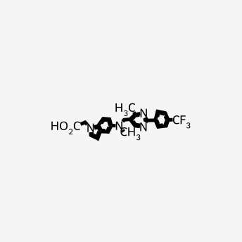 Cc1nc(-c2ccc(C(F)(F)F)cc2)ncc1CN(C)c1ccc2c(ccn2CC(=O)O)c1